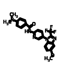 COc1ccc2c(c1)nc(C(F)(F)F)n2-c1ccc(NC(=O)c2ccc(N(C)C)cc2)nc1